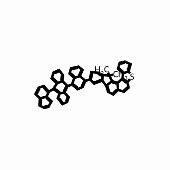 CC1(C)c2ccc(-c3ccc(-c4c5ccccc5c(-c5cccc6ccccc56)c5ccccc45)c4ccccc34)cc2-c2ccc3ccc4sc5ccccc5c4c3c21